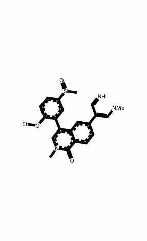 CCOc1ccc([Si](C)=O)cc1-c1cn(C)c(=O)c2ccc(/C(C=N)=C/NC)cc12